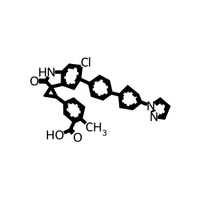 Cc1ccc(C2CC23C(=O)Nc2cc(Cl)c(-c4ccc(-c5ccc(-n6cccn6)cc5)cc4)cc23)cc1C(=O)O